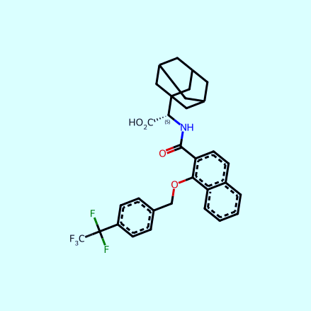 O=C(N[C@H](C(=O)O)C12CC3CC(CC(C3)C1)C2)c1ccc2ccccc2c1OCc1ccc(C(F)(F)C(F)(F)F)cc1